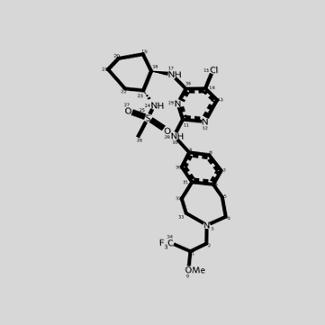 COC(CN1CCc2ccc(Nc3ncc(Cl)c(N[C@@H]4CCCC[C@H]4NS(C)(=O)=O)n3)cc2CC1)C(F)(F)F